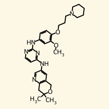 COc1cc(Nc2nccc(Nc3cnc4c(c3)COC(C)(C)C4)n2)ccc1OCCCN1CCCCC1